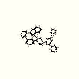 c1ccc(-c2cccc(-c3ccc(-c4nc(-c5ccncc5)nc(-c5ccncc5)n4)cc3-c3cccc4ccccc34)c2)cc1